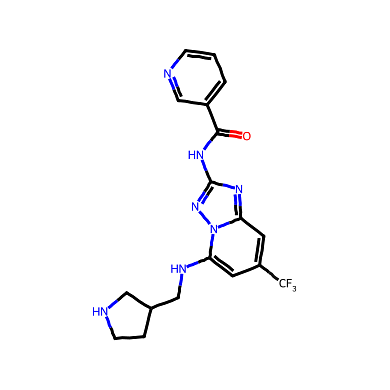 O=C(Nc1nc2cc(C(F)(F)F)cc(NCC3CCNC3)n2n1)c1cccnc1